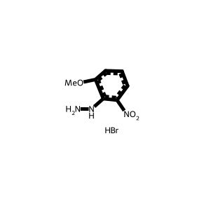 Br.COc1cccc([N+](=O)[O-])c1NN